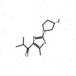 Cc1sc(N2CC[C@H](F)C2)nc1C(=O)C(C)C